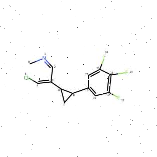 C/N=C\C(=C/Cl)C1CC1c1cc(F)c(F)c(F)c1